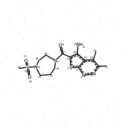 Cc1nnc2sc(C(=O)N3CCCN(S(C)(=O)=O)CC3)c(N)c2c1C